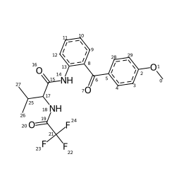 COc1ccc(C(=O)c2ccccc2NC(=O)C(NC(=O)C(F)(F)F)C(C)C)cc1